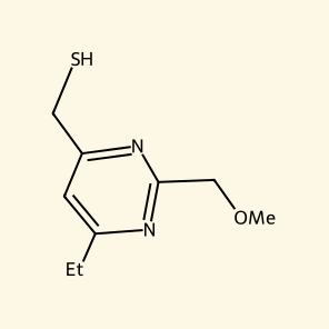 CCc1cc(CS)nc(COC)n1